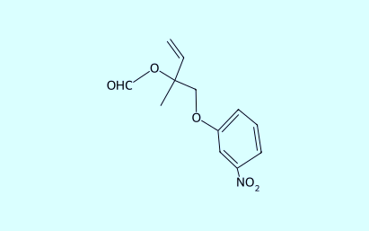 C=CC(C)(COc1cccc([N+](=O)[O-])c1)OC=O